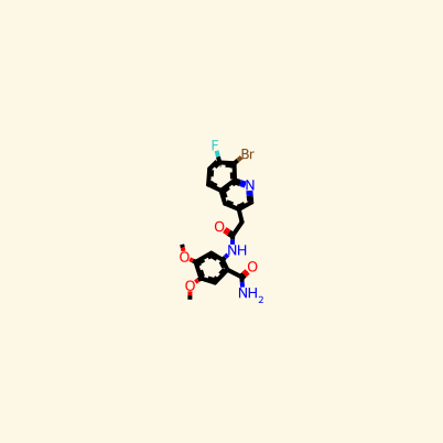 COc1cc(NC(=O)Cc2cnc3c(Br)c(F)ccc3c2)c(C(N)=O)cc1OC